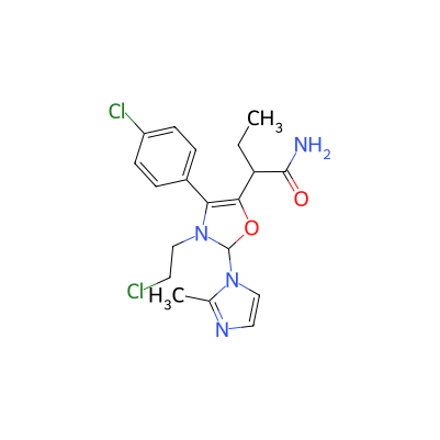 CCC(C(N)=O)C1=C(c2ccc(Cl)cc2)N(CCCl)C(n2ccnc2C)O1